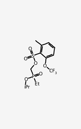 CCP(=O)(COS(=O)(=O)c1c(C)cccc1OC(F)(F)F)OC(C)C